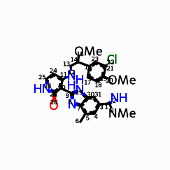 CNC(=N)c1cc(C)c2nc(-c3c(NCC(OC)c4ccc(OC)c(Cl)c4)cc[nH]c3=O)[nH]c2c1